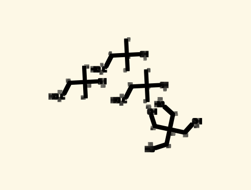 CC(C)(S)CC(=O)O.CC(C)(S)CC(=O)O.CC(C)(S)CC(=O)O.OCC(CO)(CO)CO